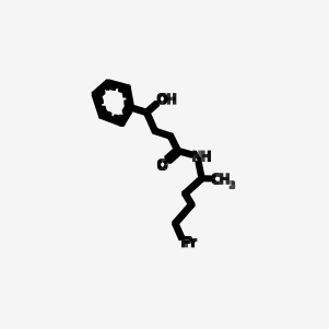 CC(C)CCCC(C)NC(=O)CCC(O)c1ccccc1